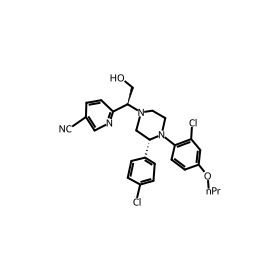 CCCOc1ccc(N2CCN([C@H](CO)c3ccc(C#N)cn3)C[C@H]2c2ccc(Cl)cc2)c(Cl)c1